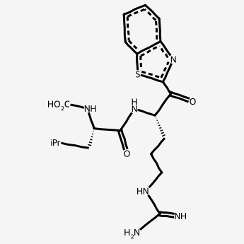 CC(C)C[C@H](NC(=O)O)C(=O)N[C@@H](CCCNC(=N)N)C(=O)c1nc2ccccc2s1